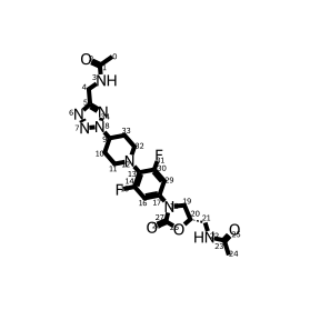 CC(=O)NCc1nnn(C2CCN(c3c(F)cc(N4C[C@H](CNC(C)=O)OC4=O)cc3F)CC2)n1